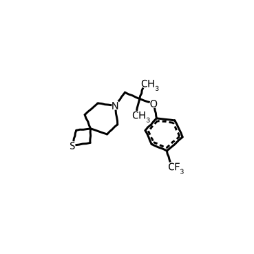 CC(C)(CN1CCC2(CC1)CSC2)Oc1ccc(C(F)(F)F)cc1